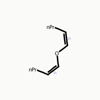 CCC/C=C\O/C=C\CCC